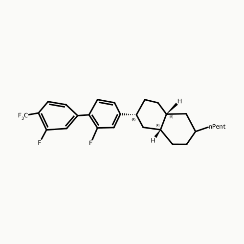 CCCCCC1CC[C@@H]2C[C@H](c3ccc(-c4ccc(C(F)(F)F)c(F)c4)c(F)c3)CC[C@@H]2C1